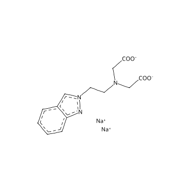 O=C([O-])CN(CCn1cc2ccccc2n1)CC(=O)[O-].[Na+].[Na+]